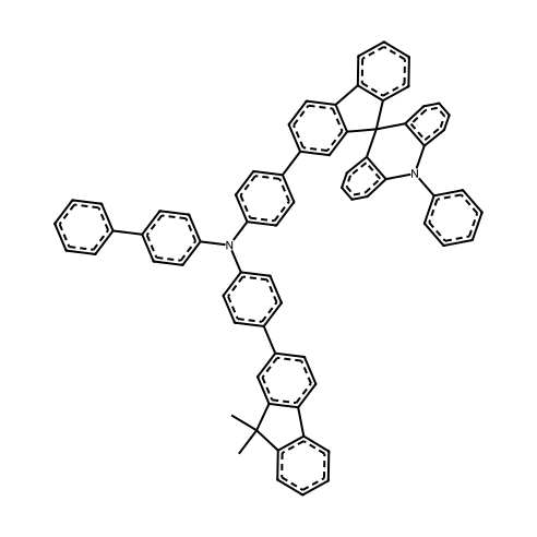 CC1(C)c2ccccc2-c2ccc(-c3ccc(N(c4ccc(-c5ccccc5)cc4)c4ccc(-c5ccc6c(c5)C5(c7ccccc7-6)c6ccccc6N(c6ccccc6)c6ccccc65)cc4)cc3)cc21